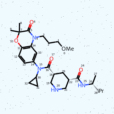 COCCCN1C(=O)C(C)(C)Oc2ccc(N(C(=O)[C@H]3CNC[C@@H](C(=O)N[C@H](C)C(C)C)C3)C3CC3)cc21